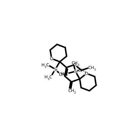 C=C(C=C(OCC)C1([Si](C)(C)C)CCCCO1)C1([Si](C)(C)C)CCCCO1